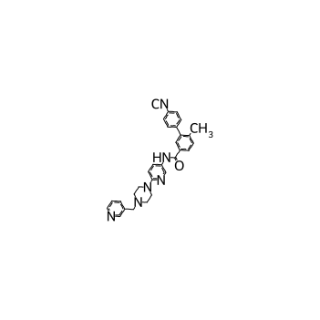 [C-]#[N+]c1ccc(-c2cc(C(=O)Nc3ccc(N4CCN(Cc5cccnc5)CC4)nc3)ccc2C)cc1